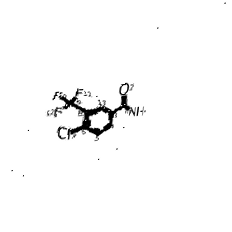 [NH]C(=O)c1ccc(Cl)c(C(F)(F)F)c1